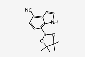 CC1(C)OB(c2ccc(C#N)c3cc[nH]c23)OC1(C)C